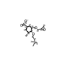 C[Si](C)(C)CCOc1c(F)cc([N+](=O)[O-])cc1OCC1CO1